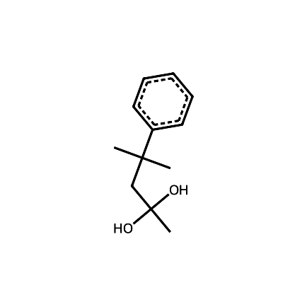 CC(O)(O)CC(C)(C)c1ccccc1